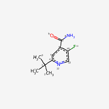 CC(C)(C)c1cc(C(N)=O)c(F)cn1